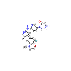 Cc1cnc(Nc2ccc(N3CCNCC3=O)cn2)cc1-c1cc(F)c2c(c1)N(C(C)C)CCO2